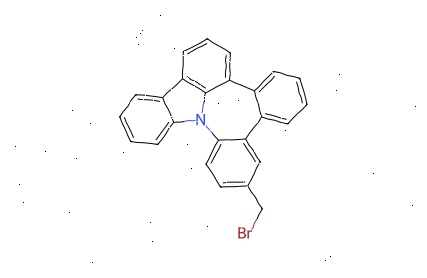 BrCc1ccc2c(c1)-c1ccccc1-c1cccc3c4ccccc4n-2c13